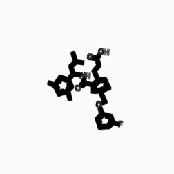 Cc1cc(C)cc(C(CC(C)C)NC(=O)c2cc(COc3cccc(F)c3)ccc2CCC(=O)O)c1